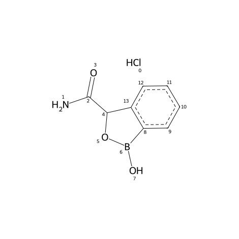 Cl.NC(=O)C1OB(O)c2ccccc21